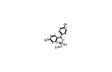 CCOP(=O)(CC)OC(c1ccc(Br)cc1)c1ccc(Br)cc1